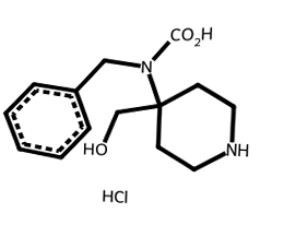 Cl.O=C(O)N(Cc1ccccc1)C1(CO)CCNCC1